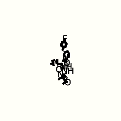 CC(=O)c1sc(NC(=O)N[C@@H](CC(=O)N2CCC[C@@H](Cc3ccc(F)cc3)C2)CN(C)C(C)(C)C)nc1C